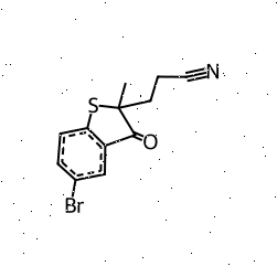 CC1(CCC#N)Sc2ccc(Br)cc2C1=O